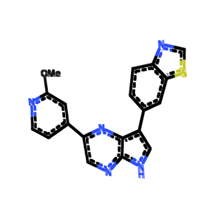 COc1cc(-c2cnc3[nH]cc(-c4ccc5ncsc5c4)c3n2)ccn1